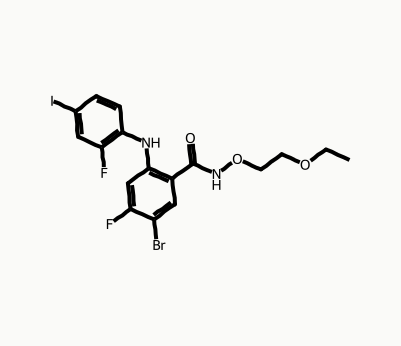 CCOCCONC(=O)c1cc(Br)c(F)cc1Nc1ccc(I)cc1F